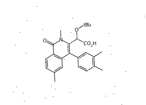 Cc1ccc2c(=O)n(C)c(C(OC(C)(C)C)C(=O)O)c(-c3ccc(C)c(C)c3)c2c1